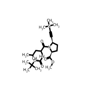 COC(=O)[C@@H]1CC[C@H](C#C[Si](C)(C)C)N1C(=O)C(CC(C)C)NC(=O)OC(C)(C)C